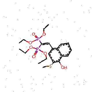 CCOP(=O)(OCC)C(=Cc1cc(SC)c(O)c2ccccc12)P(=O)(OCC)OCC